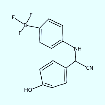 N#CC(Nc1ccc([B-](F)(F)F)cc1)c1ccc(O)cc1